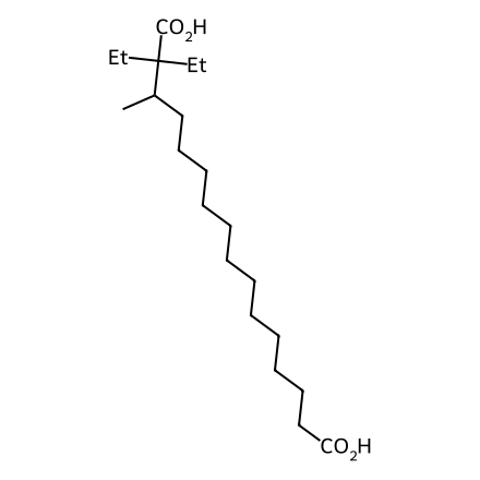 CCC(CC)(C(=O)O)C(C)CCCCCCCCCCCCC(=O)O